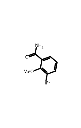 COc1c(C(N)=O)cccc1C(C)C